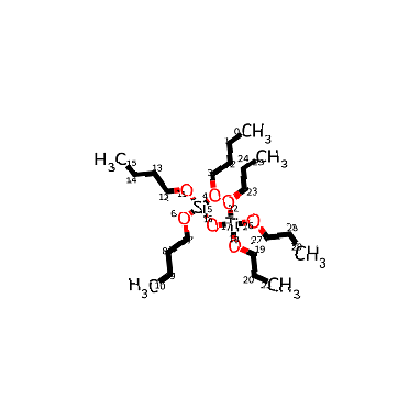 CCCCO[Si](OCCCC)(OCCCC)[O][Ti]([O]CCC)([O]CCC)[O]CCC